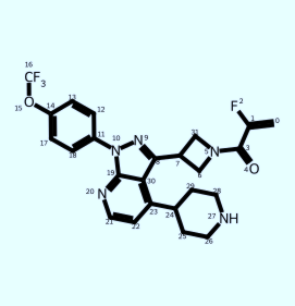 C=C(F)C(=O)N1CC(c2nn(-c3ccc(OC(F)(F)F)cc3)c3nccc(C4CCNCC4)c23)C1